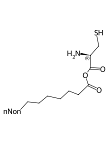 CCCCCCCCCCCCCCCC(=O)OC(=O)[C@@H](N)CS